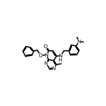 Cc1ncnc2c1c(NCc1cccc(N(C)C)c1)cc(=O)n2OCc1ccccc1